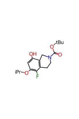 CC(C)Oc1cc(O)c2c(c1F)CCN(C(=O)OC(C)(C)C)C2